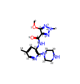 COc1nn(C)nc1C(=O)Nc1cc(C)cnc1N1CCNCC1